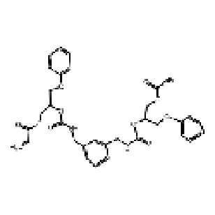 C=CC(=O)OCC(COc1ccccc1)OC(=O)NCc1cccc(CNC(=O)OC(COC(=O)CCC)COc2ccccc2)c1